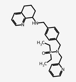 CCP(=O)(CC)N(Cc1ccc(CNC2CCCc3cccnc32)cc1)Cc1ccccn1